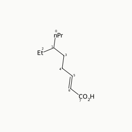 CCCC(CC)CCC=CC(=O)O